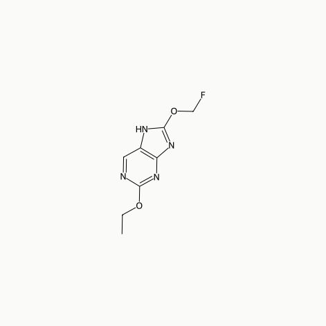 CCOc1ncc2[nH]c(OCF)nc2n1